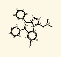 CN(C)Cc1nnc(Cc2ccccc2)n1-c1ccc(Br)cc1C(=O)c1ccccn1